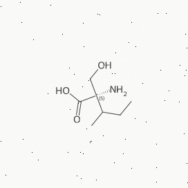 CCC(C)[C@](N)(CO)C(=O)O